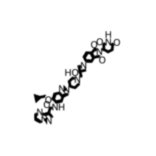 O=C1CCC(N2C(=O)c3ccc(N4CC(O)(CN5CCC(n6cc7cc(NC(=O)c8cnn9cccnc89)c(OCC8CC8)cc7n6)CC5)C4)cc3C2=O)C(=O)N1